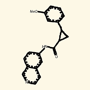 COc1cccc(C2CC2C(=O)Nc2ccc3cnccc3c2)c1